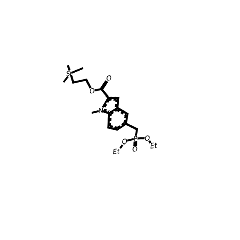 CCOP(=O)(Cc1ccc2c(c1)cc(C(=O)OCC[Si](C)(C)C)n2C)OCC